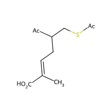 CC(=O)SCC(CC=C(C)C(=O)O)C(C)=O